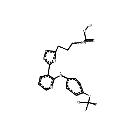 CC(C)(C)OC(=O)NCCCc1nnc(-c2cccnc2Nc2ccc(OC(F)(F)Cl)cc2)o1